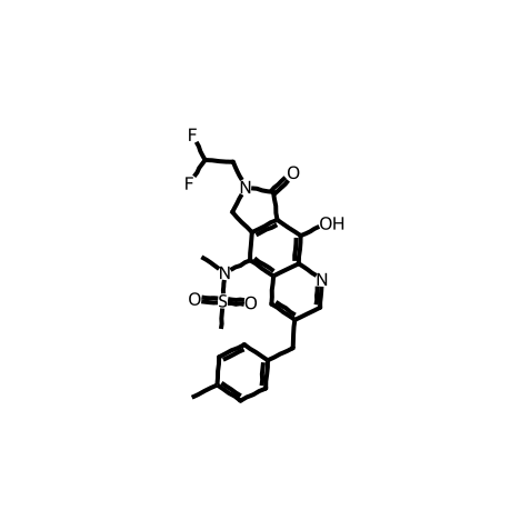 Cc1ccc(Cc2cnc3c(O)c4c(c(N(C)S(C)(=O)=O)c3c2)CN(CC(F)F)C4=O)cc1